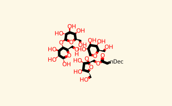 CCCCCCCCCCCC(=O)OC[C@@]1(O[C@H]2O[C@H](CO)[C@@H](O)[C@H](O)[C@H]2O)O[C@H](CO)[C@@H](O)[C@@H]1O.OC[C@H]1O[C@@H](O[C@H]2[C@H](O)[C@@H](O)[C@@H](O)O[C@@H]2CO)[C@H](O)[C@@H](O)[C@H]1O